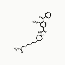 C[C@]1(NC(=O)c2ccc(C(=O)c3ccccc3)c(C(=O)O)c2)CC[C@H](CCCCCCC(N)=O)CC1